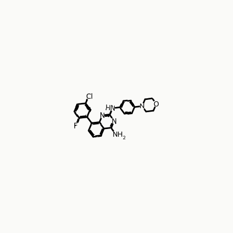 Nc1nc(Nc2ccc(N3CCOCC3)cc2)nc2c(-c3cc(Cl)ccc3F)cccc12